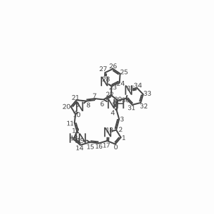 C1=Cc2cc3[nH]c(cc4nc(cc5ccc(cc1n2)[nH]5)C=C4)c(-c1ccccn1)c3-c1ccccn1